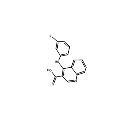 O=C(O)c1cnc2ccccc2c1Nc1cccc(Br)c1